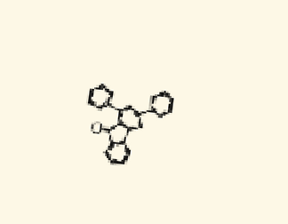 O=C1c2ccccc2-c2cc(-c3ccccc3)cc(-c3ccccc3)c21